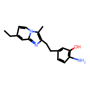 CCc1ccn2c(C)c(CCc3ccc(N)c(O)c3)nc2c1